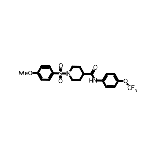 COc1ccc(S(=O)(=O)N2CCC(C(=O)Nc3ccc(OC(F)(F)F)cc3)CC2)cc1